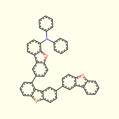 c1ccc(N(c2ccccc2)c2cccc3c2oc2ccc(-c4cccc5sc6ccc(-c7ccc8oc9ccccc9c8c7)cc6c45)cc23)cc1